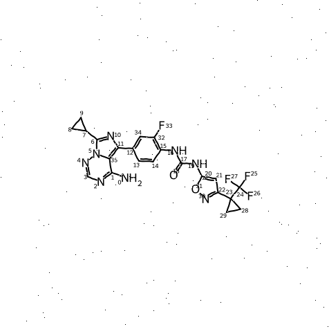 Nc1ncnn2c(C3CC3)nc(-c3ccc(NC(=O)Nc4cc(C5(C(F)(F)F)CC5)no4)c(F)c3)c12